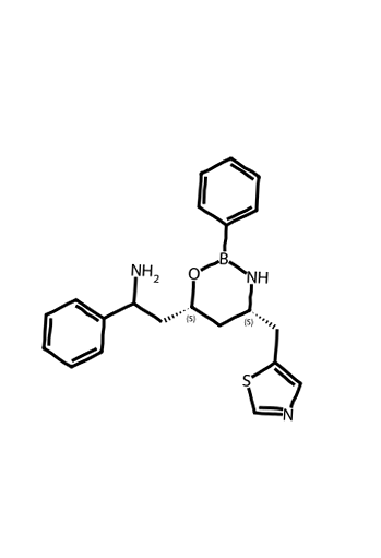 NC(C[C@H]1C[C@@H](Cc2cncs2)NB(c2ccccc2)O1)c1ccccc1